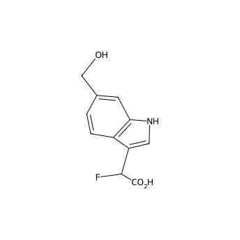 O=C(O)C(F)c1c[nH]c2cc(CO)ccc12